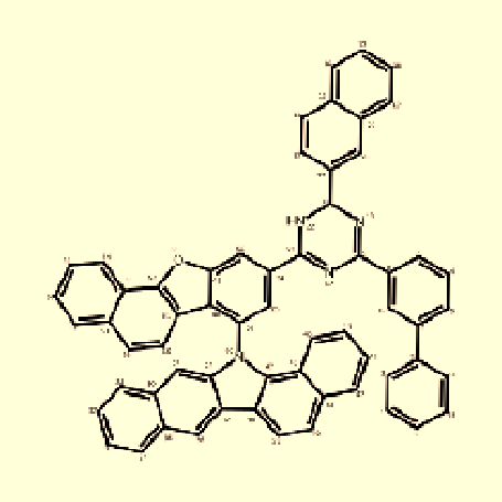 c1ccc(-c2cccc(C3=NC(c4ccc5ccccc5c4)NC(c4cc(-n5c6cc7ccccc7cc6c6ccc7ccccc7c65)c5c(c4)oc4c6ccccc6ccc45)=N3)c2)cc1